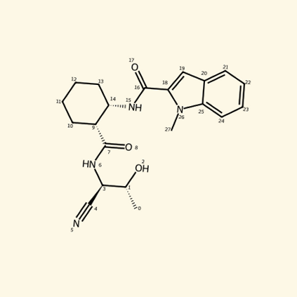 C[C@@H](O)[C@@H](C#N)NC(=O)[C@@H]1CCCC[C@@H]1NC(=O)c1cc2ccccc2n1C